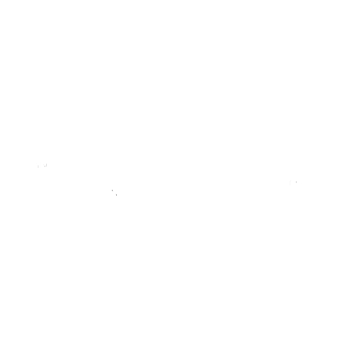 CCCCCCCCc1ccc(C#Cc2ccc(CCCC)cn2)cc1